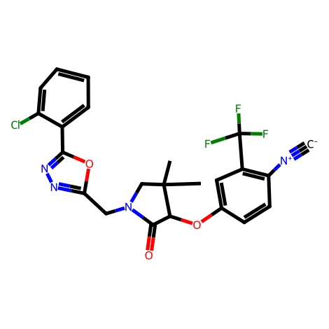 [C-]#[N+]c1ccc(OC2C(=O)N(Cc3nnc(-c4ccccc4Cl)o3)CC2(C)C)cc1C(F)(F)F